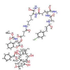 CC(=O)O[C@@]12CO[C@@H]1C[C@H](O)[C@@]1(C)C(=O)[C@H](O)C3=C(C)[C@@H](OC(=O)[C@H](OC(=O)CCC(=O)NCCCCC(NC(=O)CC[C@H](NC(=O)C(C)NC(=O)/C=C/c4ccc(F)cc4)C(N)=O)C(N)=O)[C@@H](NC(=O)OC(C)(C)C)c4ccccc4)C[C@@](O)([C@@H](OC(=O)c4ccccc4)[C@H]21)C3(C)C